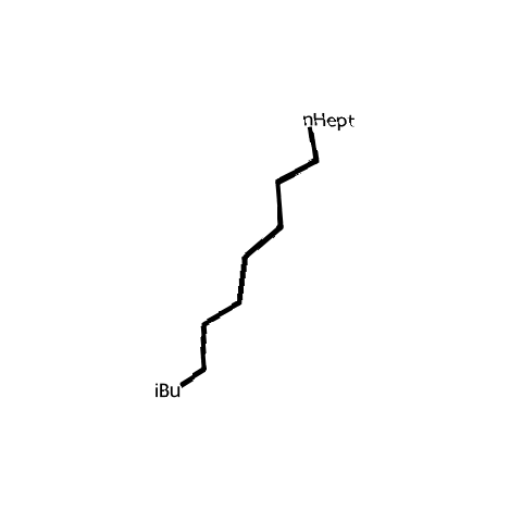 [CH2]CCCCCCCCCCCCCC(C)C[CH2]